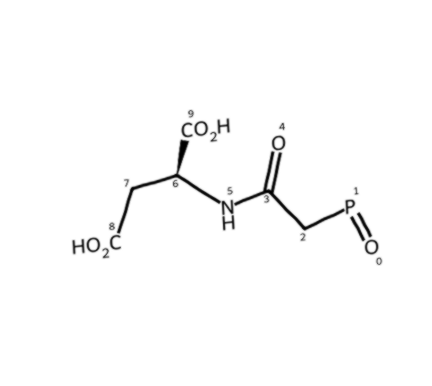 O=PCC(=O)N[C@@H](CC(=O)O)C(=O)O